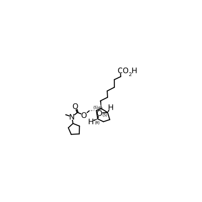 CN(C(=O)OC[C@@H]1[C@@H](CCCCCCC(=O)O)[C@@H]2CC[C@H]1O2)C1CCCC1